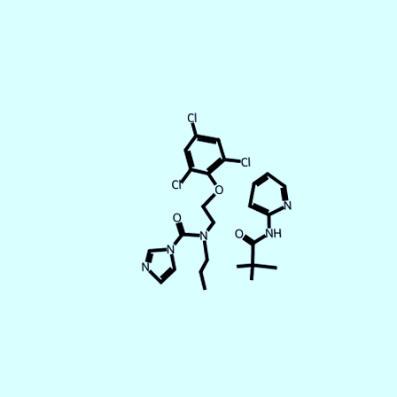 CC(C)(C)C(=O)Nc1ccccn1.CCCN(CCOc1c(Cl)cc(Cl)cc1Cl)C(=O)n1ccnc1